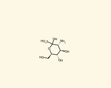 N[C@@H]1[C@@H](O)[C@H](O)[C@@H](CO)OC1(O)S(=O)(=O)O